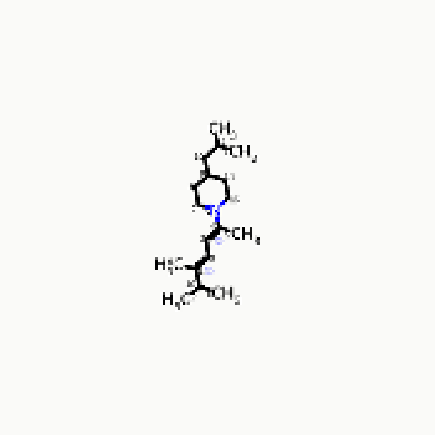 C/C(=C\C=C(/C)N1CCC(CC(C)C)CC1)C(C)C